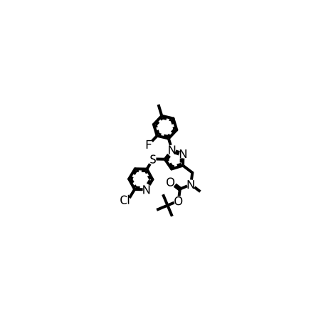 Cc1ccc(-n2nc(CN(C)C(=O)OC(C)(C)C)cc2Sc2ccc(Cl)nc2)c(F)c1